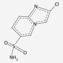 NS(=O)(=O)c1ccc2nc(Cl)cn2c1